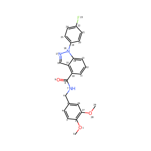 COc1ccc(CNC(=O)c2cccc3c2cnn3-c2ccc(F)cc2)cc1OC